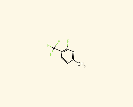 Cc1ccc(C(F)(F)F)c(F)c1